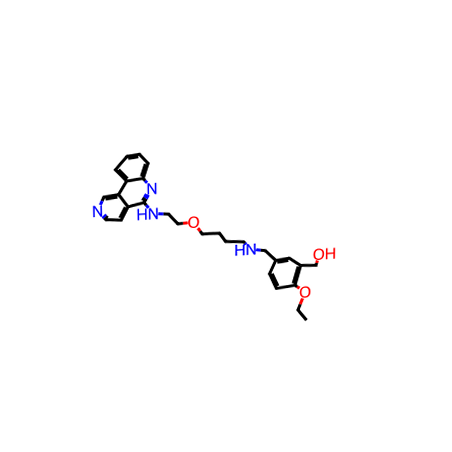 CCOc1ccc(CNCCCCOCCNc2nc3ccccc3c3cnccc23)cc1CO